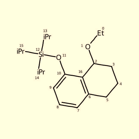 CCOC1CCCc2cccc(O[Si](C(C)C)(C(C)C)C(C)C)c21